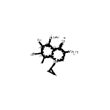 CCOC(=O)c1cn(C2CC2)c2c(C)c(F)c(F)c(NC(C)=O)c2c1=O